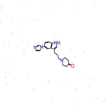 O=C1CCN(CCCc2c[nH]c3ccc(-n4ccnc4)cc23)CC1